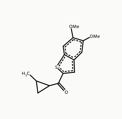 COc1cc2cc(C(=O)C3CC3C)sc2cc1OC